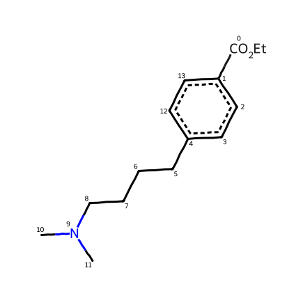 CCOC(=O)c1ccc(CCCCN(C)C)cc1